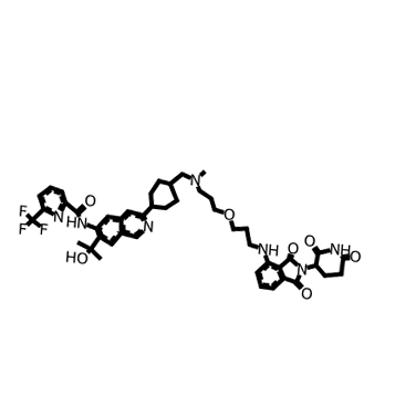 CN(CCCOCCCNc1cccc2c1C(=O)N(C1CCC(=O)NC1=O)C2=O)CC1CCC(c2cc3cc(NC(=O)c4cccc(C(F)(F)F)n4)c(C(C)(C)O)cc3cn2)CC1